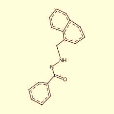 O=C([N]NCc1cccc2ccccc12)c1ccccc1